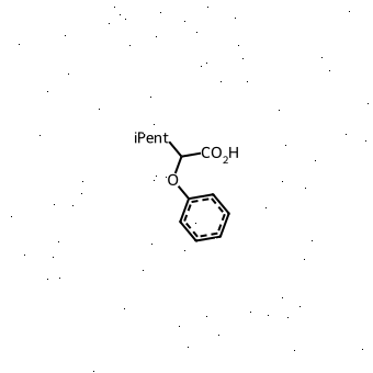 CCCC(C)C(Oc1ccccc1)C(=O)O